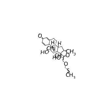 CSCOCC(=O)[C@@]1(O)[C@H](C)C[C@H]2[C@@H]3CCC4=CC(=O)C=C[C@]4(C)[C@@]3(F)[C@@H](O)C[C@@]21C